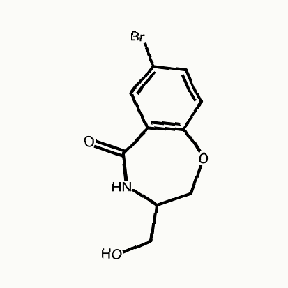 O=C1NC(CO)COc2ccc(Br)cc21